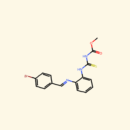 COC(=O)NC(=S)Nc1ccccc1/N=C/c1ccc(Br)cc1